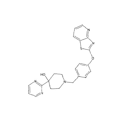 OC1(c2ncccn2)CCN(Cc2ccc(Oc3nc4ncccc4s3)cc2)CC1